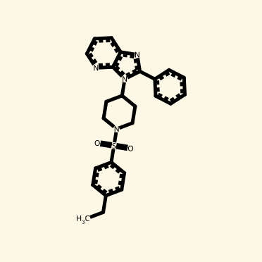 CCc1ccc(S(=O)(=O)N2CCC(n3c(-c4ccccc4)nc4cccnc43)CC2)cc1